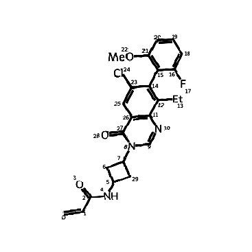 C=CC(=O)NC1CC(n2cnc3c(CC)c(-c4c(F)cccc4OC)c(Cl)cc3c2=O)C1